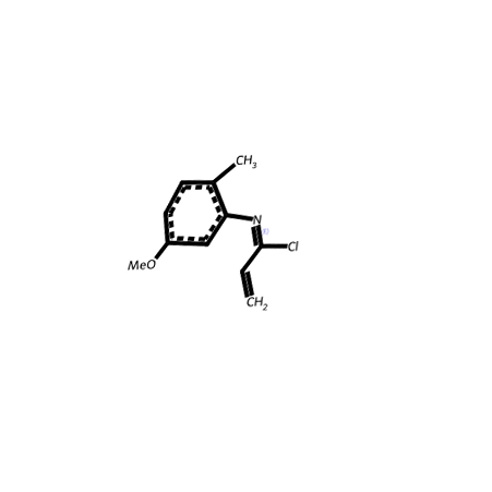 C=C/C(Cl)=N\c1cc(OC)ccc1C